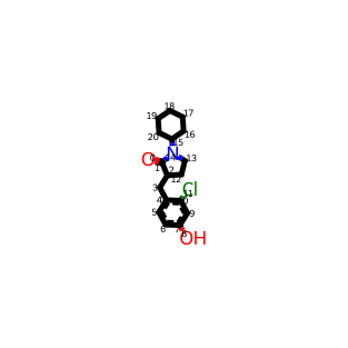 O=C1C(Cc2ccc(O)cc2Cl)CCN1C1CCCCC1